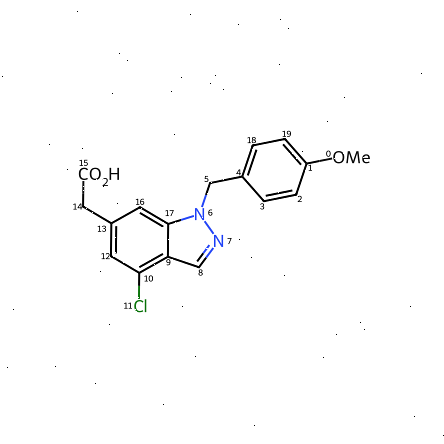 COc1ccc(Cn2ncc3c(Cl)cc(CC(=O)O)cc32)cc1